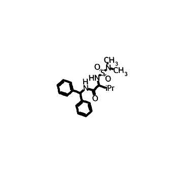 CC(C)C(NS(=O)(=O)N(C)C)C(=O)NC(c1ccccc1)c1ccccc1